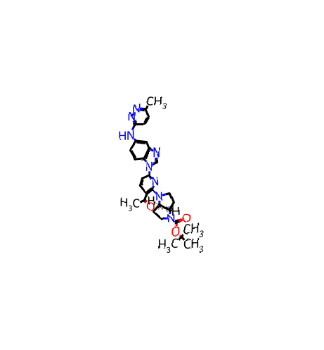 CC(=O)c1ccc(-n2cnc3cc(Nc4ccc(C)nn4)ccc32)nc1N1CC[C@H]2[C@H]1CCN2C(=O)OC(C)(C)C